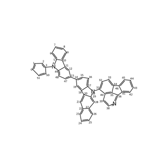 c1ccc(-n2c3ccccc3c3cc(-c4ccc5c(c4)c4cc6ccccc6cc4n5-c4ccc5c6c(nccc46)-c4ccccc4-5)ccc32)cc1